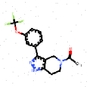 CC(=O)N1CCc2[nH]nc(-c3cccc(OC(F)(F)F)c3)c2C1